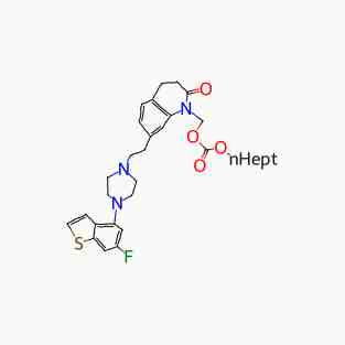 CCCCCCCOC(=O)OCN1C(=O)CCc2ccc(CCN3CCN(c4cc(F)cc5sccc45)CC3)cc21